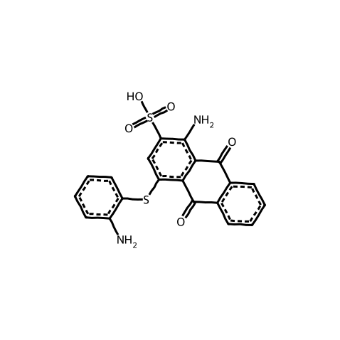 Nc1ccccc1Sc1cc(S(=O)(=O)O)c(N)c2c1C(=O)c1ccccc1C2=O